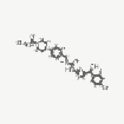 C=C(c1ccc(Br)cc1)c1csc(NC(=O)NCc2ccc(N3CCN(C(=O)OC(C)(C)C)CC3)cc2)n1